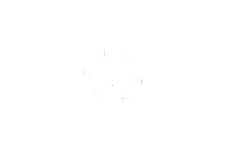 FC1(Br)C(Br)(Br)C1(Br)Br